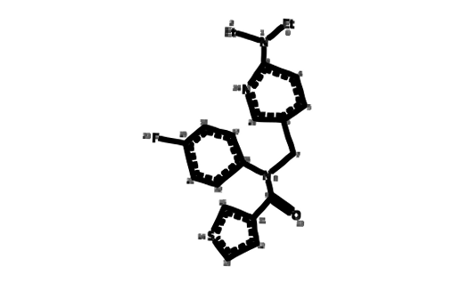 CCN(CC)c1ccc(CN(C(=O)c2ccsc2)c2ccc(F)cc2)cn1